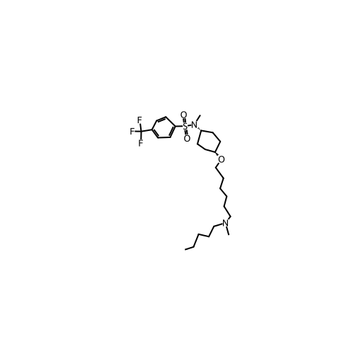 CCCCCN(C)CCCCCCO[C@H]1CC[C@H](N(C)S(=O)(=O)c2ccc(C(F)(F)F)cc2)CC1